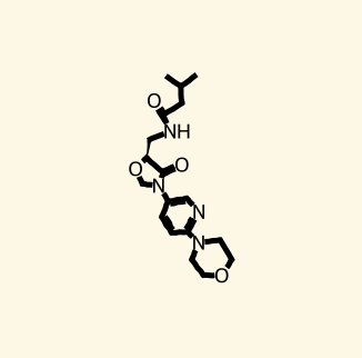 CC(C)CC(=O)NC[C@@H]1OCN(c2ccc(N3CCOCC3)nc2)C1=O